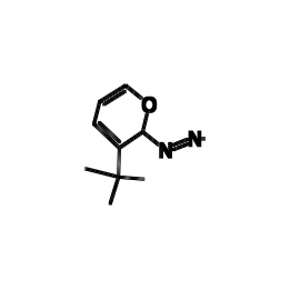 CC(C)(C)C1=CC=COC1N=[N]